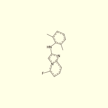 Cc1cccc(C)c1Nc1cn2c(F)cccc2n1